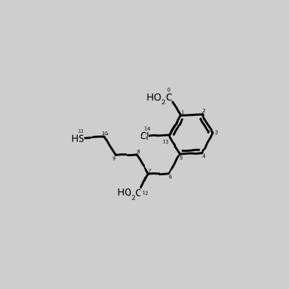 O=C(O)c1cccc(CC(CCCS)C(=O)O)c1Cl